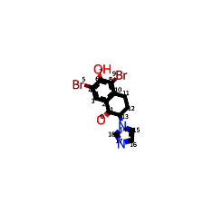 O=C1c2cc(Br)c(O)c(Br)c2CCC1n1ccnc1